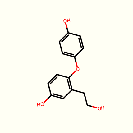 OCCc1cc(O)ccc1Oc1ccc(O)cc1